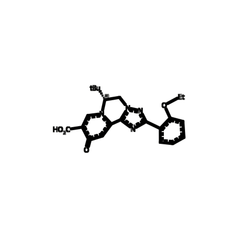 CCOc1ccccc1-c1nc2n(n1)C[C@@H](C(C)(C)C)n1cc(C(=O)O)c(=O)cc1-2